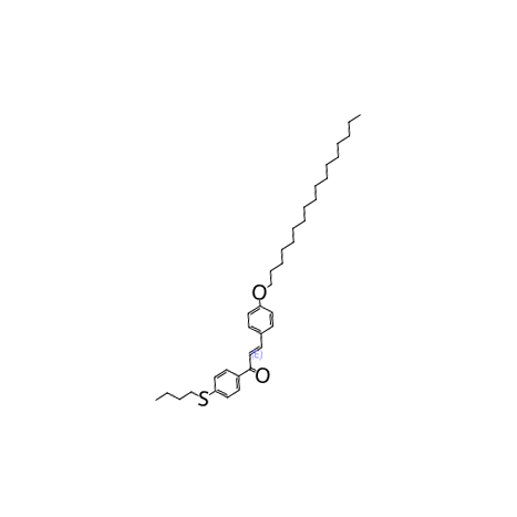 CCCCCCCCCCCCCCCCCOc1ccc(/C=C/C(=O)c2ccc(SCCCC)cc2)cc1